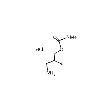 CNC(=O)OCC(F)CN.Cl